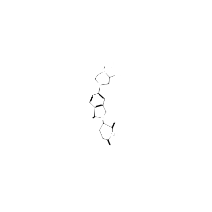 CC(C)(C)C1CN(c2ccc3c(c2)CN(C2CCC(=O)NC2=O)C3=O)CCN1C(=O)O